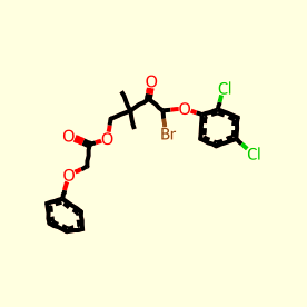 CC(C)(COC(=O)COc1ccccc1)C(=O)C(Br)Oc1ccc(Cl)cc1Cl